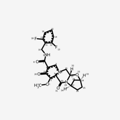 COc1c2n(cc(C(=O)NCc3c(F)cccc3F)c1=O)C[C@@H]1O[C@H]3CC[C@H](C3)N1C2=O